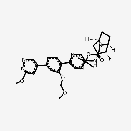 COCOc1cc(-c2cnnc(OC)c2)ccc1-c1cnc(N[C@@H]2C[C@H]3CC[C@@H]([C@@H]2F)N3C(=O)OC(C)(C)C)cn1